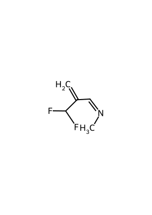 C=C(/C=N\C)C(F)F